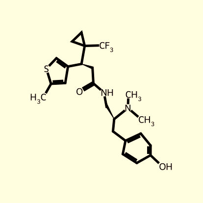 Cc1cc([C@H](CC(=O)NC[C@H](Cc2ccc(O)cc2)N(C)C)C2(C(F)(F)F)CC2)cs1